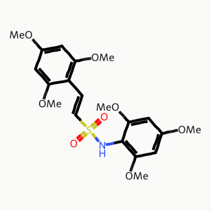 COc1cc(OC)c(C=CS(=O)(=O)Nc2c(OC)cc(OC)cc2OC)c(OC)c1